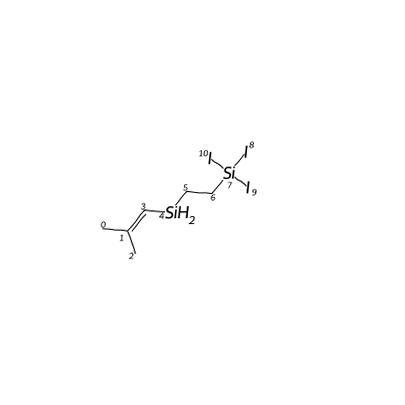 CC(C)=C[SiH2]CC[Si](I)(I)I